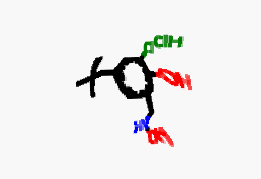 CC(C)(C)c1cc(Cl)c(O)c(CNO)c1.Cl